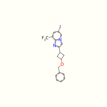 FC(F)(F)c1cc(I)cn2cc(C3CC(OCc4ccccc4)C3)nc12